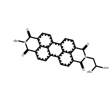 CCCCCCC(CCCC)CN1C(=O)c2ccc3c4ccc5c6c(ccc(c7ccc(c2c37)C1=O)c64)C(=O)N(CCCC)C5=O